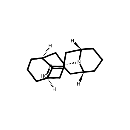 O/N=C1\C[C@H]2CCC[C@@H](C1)N2[C@H]1C[C@@H]2CCC[C@@H](C2)C1